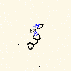 CCC(C1CCCCN1)N1CCC(Cc2ccccc2)CC1